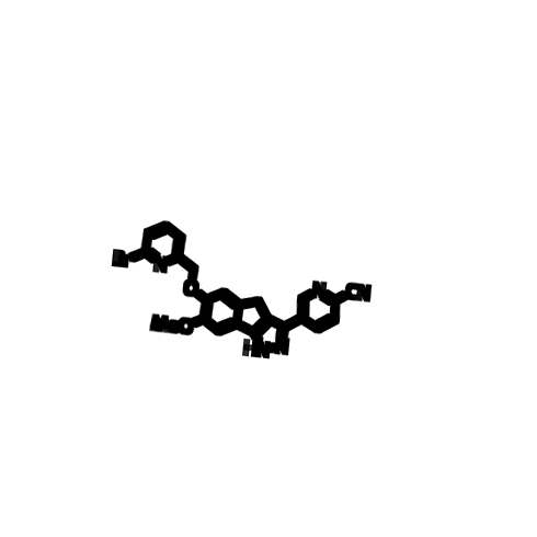 COc1cc2c(cc1OCc1cccc(Br)n1)Cc1c(-c3ccc(C#N)nc3)n[nH]c1-2